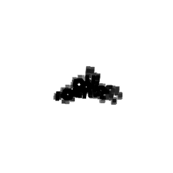 Cc1cc2c(c(C)c1NC(=O)CC(C)C)CCCC2Nc1ccc(F)cc1